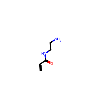 C=CC(=O)NCCN